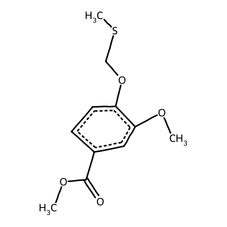 COC(=O)c1ccc(OCSC)c(OC)c1